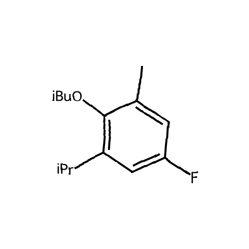 Cc1cc(F)cc(C(C)C)c1OCC(C)C